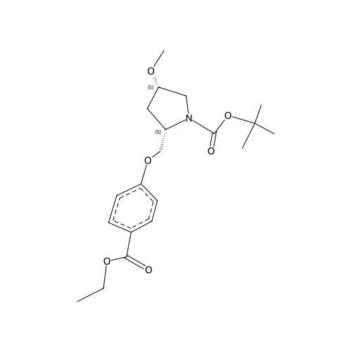 CCOC(=O)c1ccc(OC[C@@H]2C[C@H](OC)CN2C(=O)OC(C)(C)C)cc1